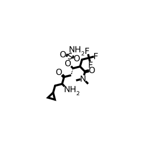 CN(C)C(=O)C(CC(F)(F)F)[C@H](CC(=O)C(N)CC1CC1)OS(N)(=O)=O